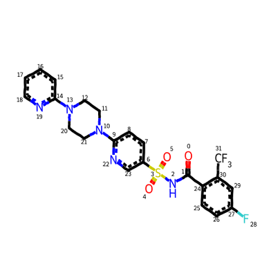 O=C(NS(=O)(=O)c1ccc(N2CCN(c3ccccn3)CC2)nc1)c1ccc(F)cc1C(F)(F)F